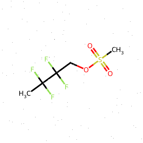 CC(F)(F)C(F)(F)COS(C)(=O)=O